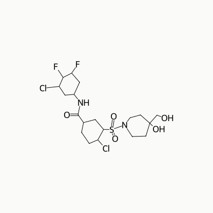 O=C(NC1CC(F)C(F)C(Cl)C1)C1CCC(Cl)C(S(=O)(=O)N2CCC(O)(CO)CC2)C1